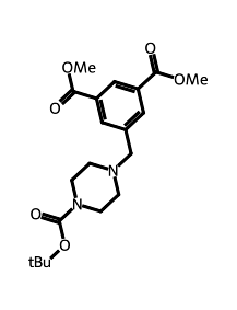 COC(=O)c1cc(CN2CCN(C(=O)OC(C)(C)C)CC2)cc(C(=O)OC)c1